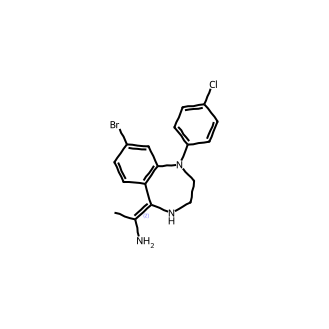 C/C(N)=C1/NCCN(c2ccc(Cl)cc2)c2cc(Br)ccc21